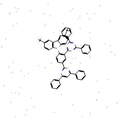 FC(F)(F)c1ccc2c(c1)c1cc(C(F)(F)F)ccc1n2-c1ccc(-c2nc(-c3ccccc3)cc(-c3ccccc3)n2)cc1-c1nc(-c2ccccc2)nc(-c2ccccc2)n1